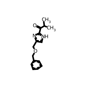 CC(C)C(=O)c1nc(COCc2ccccc2)c[nH]1